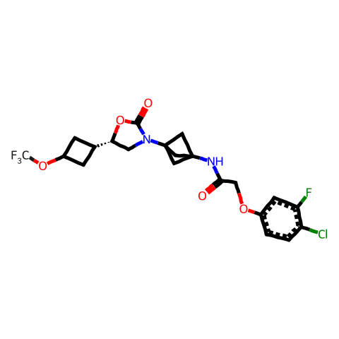 O=C(COc1ccc(Cl)c(F)c1)NC12CC(N3C[C@H](C4CC(OC(F)(F)F)C4)OC3=O)(C1)C2